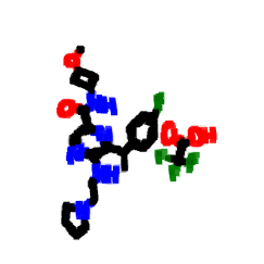 CO[C@H]1C[C@H](NC(=O)c2cnc(NCCN3CCCC3)c([C@H](C)c3ccc(F)cc3)n2)C1.O=C(O)C(F)(F)F